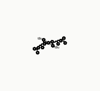 CC(C)(C)c1ccc2c(c1)c1c(CCC(Cc3ccc4c(c3)c3ccccc3n4-c3ccccc3)c3ccccc3)ccc3c4cc5c(cc4n2c31)c1ccc(C/C(=C/c2ccc3c(c2)c2ccccc2n3-c2ccccc2)c2ccccc2)c2c3cc(C(C)(C)C)ccc3n5c12